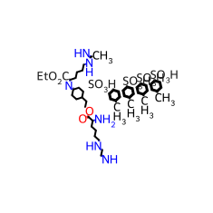 CCOC(=O)C(CCCCNC(C)=N)N=C1CCC(CCOC(=O)C(N)CCCCNCC=N)CC1.Cc1ccc(S(=O)(=O)O)cc1.Cc1ccc(S(=O)(=O)O)cc1.Cc1ccc(S(=O)(=O)O)cc1.Cc1ccc(S(=O)(=O)O)cc1